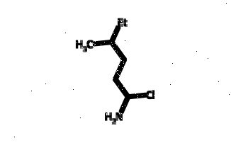 CCC(C)CCC(N)Cl